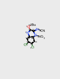 CC(C)(C)Oc1nc2cc(Cl)c(Cl)cc2n([N+](=O)[O-])c1=NC#N